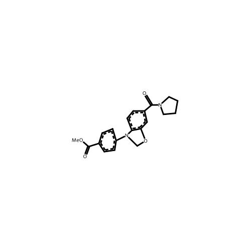 COC(=O)c1ccc(N2COc3cc(C(=O)N4CCCC4)ccc32)cc1